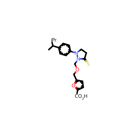 CC(C)C(C)c1ccc(N2CCC(=S)N2COCc2ccc(C(=O)O)o2)cc1